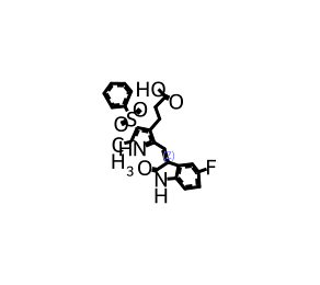 Cc1[nH]c(/C=C2\C(=O)Nc3ccc(F)cc32)c(CCC(=O)O)c1S(=O)(=O)c1ccccc1